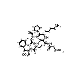 CC(C)C[C@H](NC(=O)[C@H](C)NC(=O)[C@@H]1CCCN1C(=O)[C@H](CCCCN)NC(=O)CNC(=O)CCN)C(=O)N[C@@H](Cc1ccccc1)C(=O)O